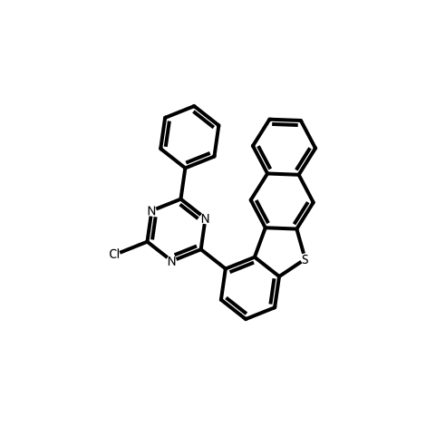 Clc1nc(-c2ccccc2)nc(-c2cccc3sc4cc5ccccc5cc4c23)n1